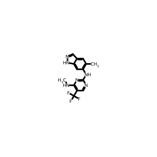 CNc1nc(Nc2cc3[nH]ncc3cc2C)ncc1C(F)(F)F